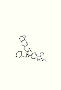 CCNC(=O)c1ccc2c(c1)nc(Cc1ccc3c(c1)CCO3)n2CC1CCCCC1